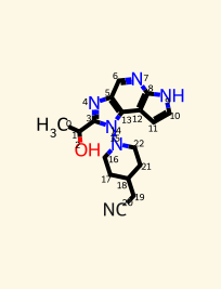 CC(O)c1nc2cnc3[nH]ccc3c2n1N1CCC(CC#N)CC1